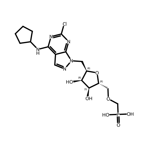 O=P(O)(O)COC[C@H]1O[C@H](Cn2ncc3c(NC4CCCC4)nc(Cl)nc32)[C@H](O)[C@@H]1O